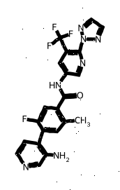 Cc1cc(-c2ccncc2N)c(F)cc1C(=O)Nc1cnc(-n2nccn2)c(C(F)(F)F)c1